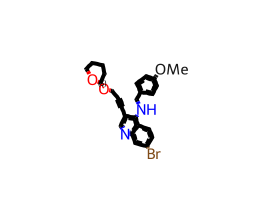 COc1ccc(CNc2c(C#CCO[C@H]3CCCCO3)cnc3cc(Br)ccc23)cc1